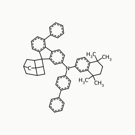 CC1(C)CCC(C)(C)c2cc(N(c3ccc(-c4ccccc4)cc3)c3ccc4c(c3)C3(c5cccc(-c6ccccc6)c5-4)C4CC5CC6CC3C64C5)ccc21